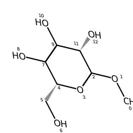 COC1O[C@H](CO)C(O)C(O)[C@@H]1O